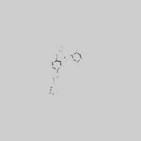 CC1(Cc2ccccc2)NCc2ccc(OCCN=N)cc21